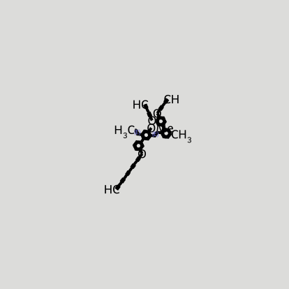 C#CC#CC#CC#CC#COc1cccc(-c2cc(/C=C/c3ccc(C)cc3-c3ccc(OC#CC#C)c(OC#CC#C)c3)c(OC)cc2/C=C/C)c1